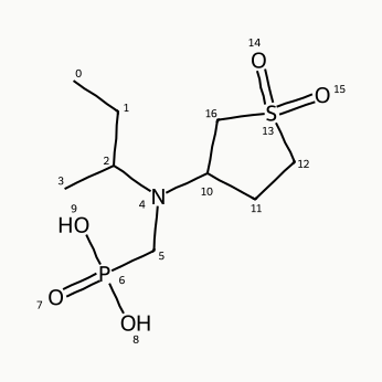 CCC(C)N(CP(=O)(O)O)C1CCS(=O)(=O)C1